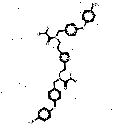 O=C(C(Cl)Cl)N(CCc1csc(CCN(Cc2ccc(Oc3ccc([N+](=O)[O-])cc3)cc2)C(=O)C(Cl)Cl)n1)Cc1ccc(Oc2ccc([N+](=O)[O-])cc2)cc1